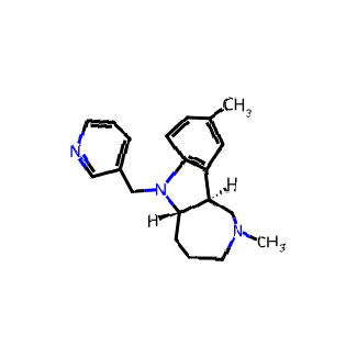 Cc1ccc2c(c1)[C@H]1CN(C)CCC[C@@H]1N2Cc1cccnc1